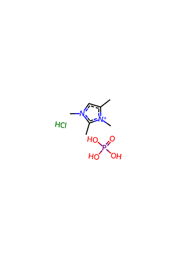 Cc1cn(C)c(C)[n+]1C.Cl.O=P(O)(O)O